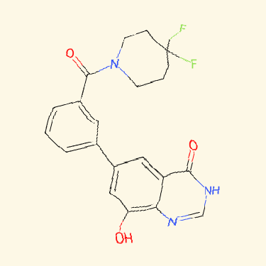 O=C(c1cccc(-c2cc(O)c3nc[nH]c(=O)c3c2)c1)N1CCC(F)(F)CC1